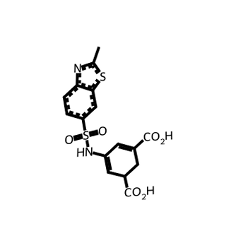 Cc1nc2ccc(S(=O)(=O)NC3=CC(C(=O)O)CC(C(=O)O)=C3)cc2s1